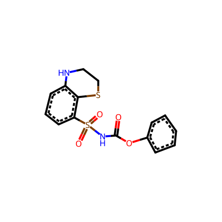 O=C(NS(=O)(=O)c1cccc2c1SCCN2)Oc1ccccc1